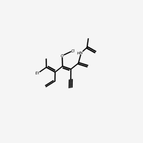 C#C/C(C(=C)NC(=C)C)=C(OCl)\C(C=C)=C(/C)CC